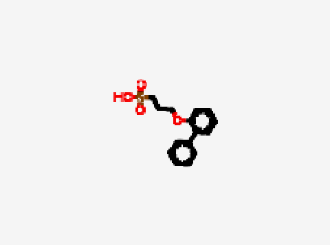 O=S(=O)(O)CCCOc1ccccc1-c1ccccc1